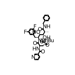 CCCCS(=O)(=O)CC(NC(=O)c1cccnc1)C(=O)N[C@@H](Cc1cc(F)cc(F)c1)[C@@H](O)[C@H](O)[C@@H](C)C(=O)NCc1ccccc1